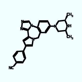 CC1CN(c2ccc3c(c2)Cn2cc(-c4ccc(C#N)cc4)cc2-c2nncn2-3)C[C@@H](C)N1